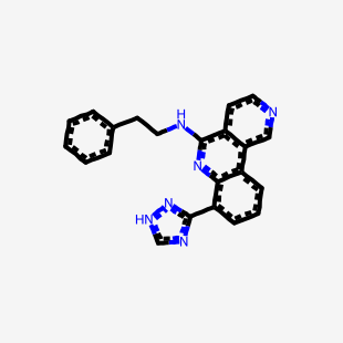 c1ccc(CCNc2nc3c(-c4nc[nH]n4)cccc3c3cnccc23)cc1